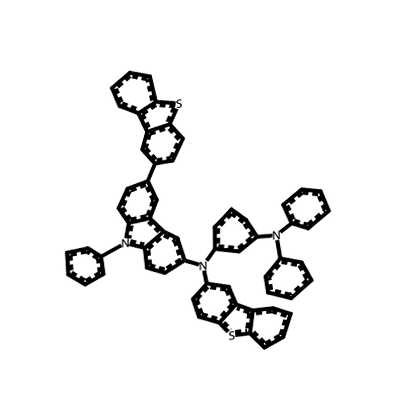 c1ccc(N(c2ccccc2)c2cccc(N(c3ccc4sc5ccccc5c4c3)c3ccc4c(c3)c3cc(-c5ccc6sc7ccccc7c6c5)ccc3n4-c3ccccc3)c2)cc1